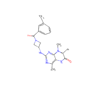 Cc1nc(NC2CN(C(=O)c3cccc(C(F)(F)F)c3)C2)nc2c1NC(=O)C(C(C)C)N2C